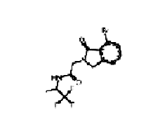 CC(NC(=O)CN1Cc2cccc(Br)c2C1=O)C(F)(F)F